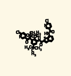 COc1c(NC(=O)c2cc3cccc(NC(=O)c4ccc(Cl)nc4)c3s2)cc(C(C)(C)C)cc1N(C(=O)c1ccc(Cl)nc1)S(C)(=O)=O